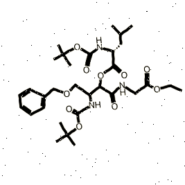 CCOC(=O)CNC(=O)C(OC(=O)[C@@H](CC(C)C)NC(=O)OC(C)(C)C)C(COCc1ccccc1)NC(=O)OC(C)(C)C